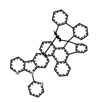 c1ccc(-n2c3ccc(-c4ccc5c(c4)C4(c6ccccc6-c6ccccc6-5)c5ccccc5-c5c4c4ccccc4c4ccccc54)cc3c3cccnc32)nc1